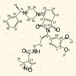 COc1ccc([C@@H](CCCNC(=O)c2conc2C)N2C(=O)c3cccc(N4CCN([C@H](C)c5ccccc5)CC4)c3C2=O)cc1OC